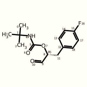 CC(C)(C)NC(=O)O[C@@H](C=O)Cc1ccc(F)cc1